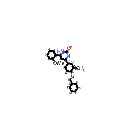 COc1ccccc1-c1cc(-c2ccc(OCc3ccccc3)c(C)c2)nc(=O)[nH]1